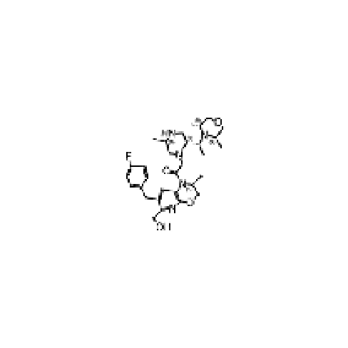 CC([C@H]1CN[C@H](C)CN1CC(=O)N1c2cc(Cc3ccc(F)cc3)c(CO)nc2OC[C@@H]1C)N1[C@H](C)COC[C@H]1C